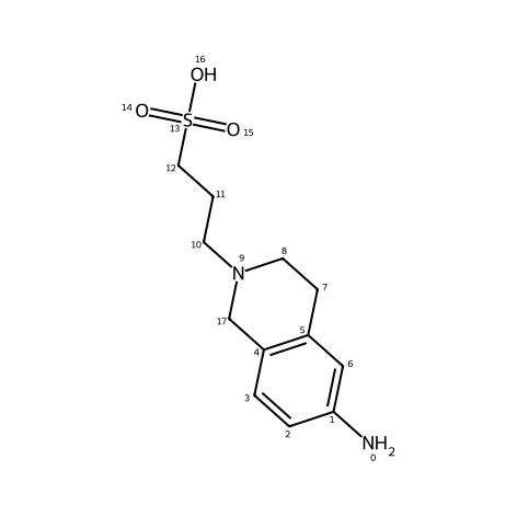 Nc1ccc2c(c1)CCN(CCCS(=O)(=O)O)C2